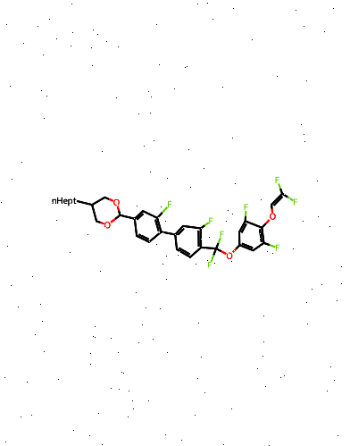 CCCCCCCC1COC(c2ccc(-c3ccc(C(F)(F)Oc4cc(F)c(OC=C(F)F)c(F)c4)c(F)c3)c(F)c2)OC1